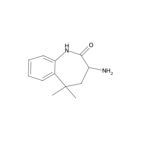 CC1(C)CC(N)C(=O)Nc2ccccc21